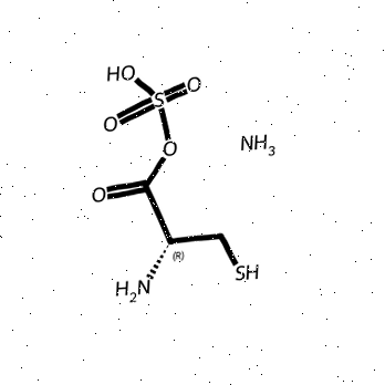 N.N[C@@H](CS)C(=O)OS(=O)(=O)O